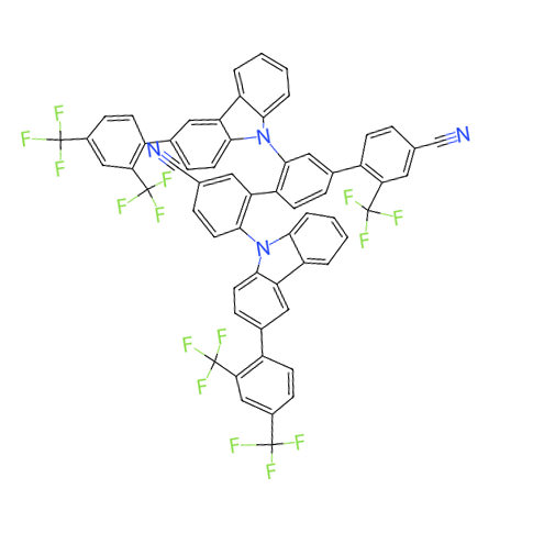 N#Cc1ccc(-n2c3ccccc3c3cc(-c4ccc(C(F)(F)F)cc4C(F)(F)F)ccc32)c(-c2ccc(-c3ccc(C#N)cc3C(F)(F)F)cc2-n2c3ccccc3c3cc(-c4ccc(C(F)(F)F)cc4C(F)(F)F)ccc32)c1